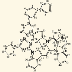 c1ccc(-c2cccc(-c3ccc(-c4nc(-c5ccccc5)nc(-n5c6ccccc6c6cc(-n7c8ccccc8c8ccccc87)c7c(c8ccccc8n7-c7ccccc7)c65)n4)cc3)c2)cc1